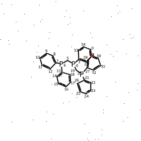 c1ccc(P(CP(c2ccccc2)c2ccccc2)CP(c2ccccc2)c2ccccc2)cc1